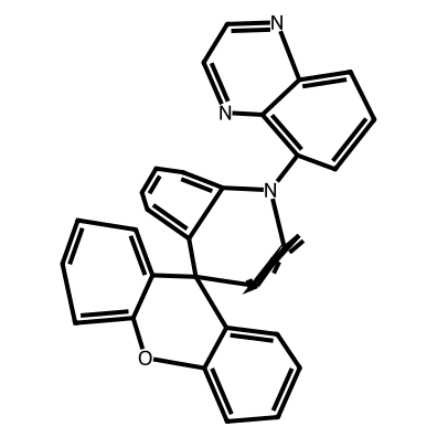 c1ccc2c(c1)Oc1ccccc1C21c2ccccc2N(c2cccc3nccnc23)c2ccccc21